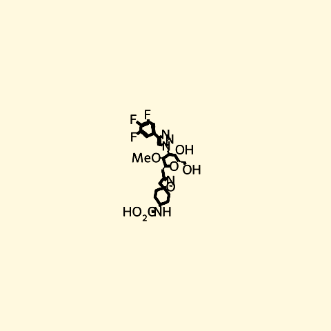 CO[C@@H]1[C@@H](n2cc(-c3cc(F)c(F)c(F)c3)nn2)[C@@H](O)[C@@H](CO)O[C@@H]1CC1=NOC2(CCC(NC(=O)O)CC2)C1